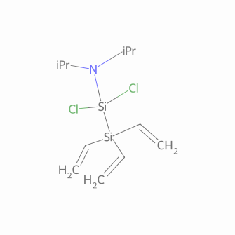 C=C[Si](C=C)(C=C)[Si](Cl)(Cl)N(C(C)C)C(C)C